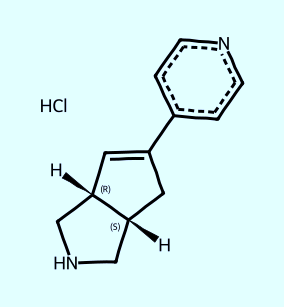 C1=C(c2ccncc2)C[C@@H]2CNC[C@H]12.Cl